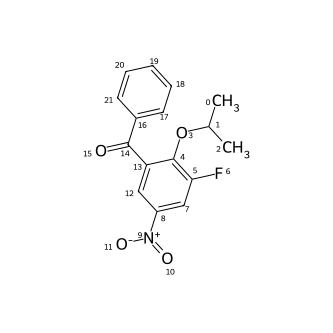 CC(C)Oc1c(F)cc([N+](=O)[O-])cc1C(=O)c1ccccc1